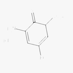 CCOC(=O)C1C=C(CC)C=C(N)C1=S.Cl